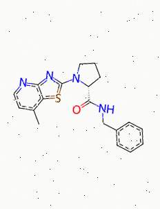 Cc1ccnc2nc(N3CCC[C@@H]3C(=O)NCc3ccccc3)sc12